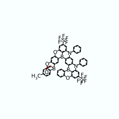 Cc1cc2c3c(c1)Oc1cc4c(cc1B3c1ccccc1O2)B1c2cc3c(cc2N(c2ccccc2)c2cc(S(F)(F)(F)(F)F)cc(c21)O4)N(c1ccccc1)c1cc(S(F)(F)(F)(F)F)cc2c1B3c1ccccc1O2